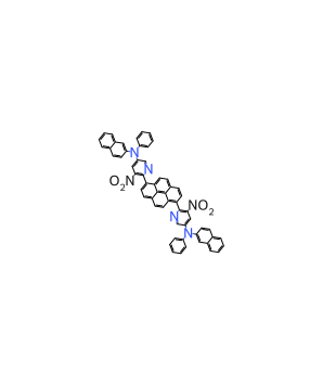 O=[N+]([O-])c1cc(N(c2ccccc2)c2ccc3ccccc3c2)cnc1-c1ccc2ccc3c(-c4ncc(N(c5ccccc5)c5ccc6ccccc6c5)cc4[N+](=O)[O-])ccc4ccc1c2c43